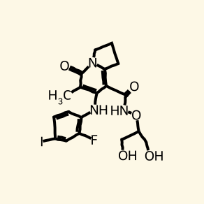 Cc1c(Nc2ccc(I)cc2F)c(C(=O)NOC(CO)CO)c2n(c1=O)CCC2